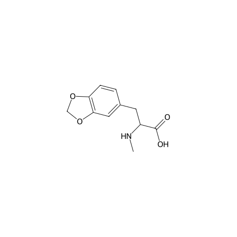 CNC(Cc1ccc2c(c1)OCO2)C(=O)O